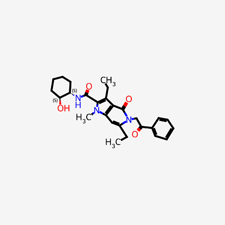 CCc1c(C(=O)N[C@H]2CCCC[C@@H]2O)n(C)c2cc(CC)n(CC(=O)c3ccccc3)c(=O)c12